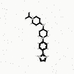 CC(C)N1CCC(OC2CCN(c3ccc(-c4ncco4)cc3)CC2)CC1